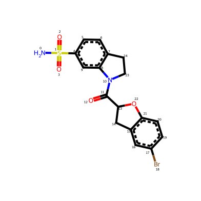 NS(=O)(=O)c1ccc2c(c1)N(C(=O)C1Cc3cc(Br)ccc3O1)CC2